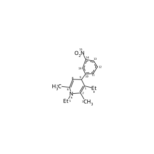 CCC1=C(C)N(CC)C(C)=CC1c1cccc([N+](=O)[O-])c1